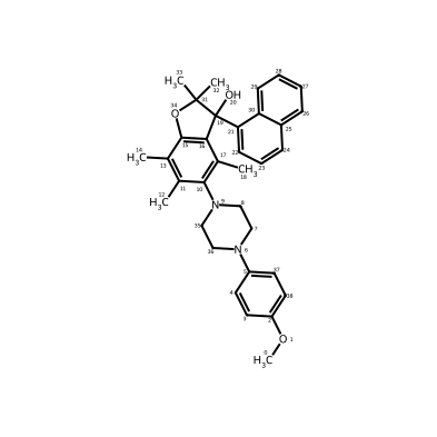 COc1ccc(N2CCN(c3c(C)c(C)c4c(c3C)C(O)(c3cccc5ccccc35)C(C)(C)O4)CC2)cc1